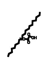 CCCCCCCCCCCCCCCCCCCC.O=C(O)C(=O)O